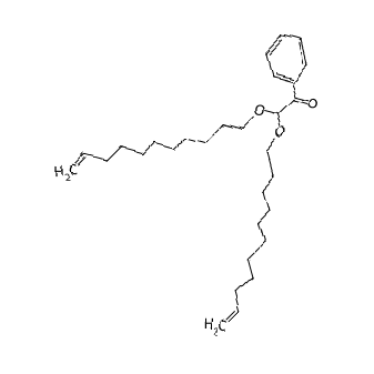 C=CCCCCCCCCCOC(OCCCCCCCCCC=C)C(=O)c1ccccc1